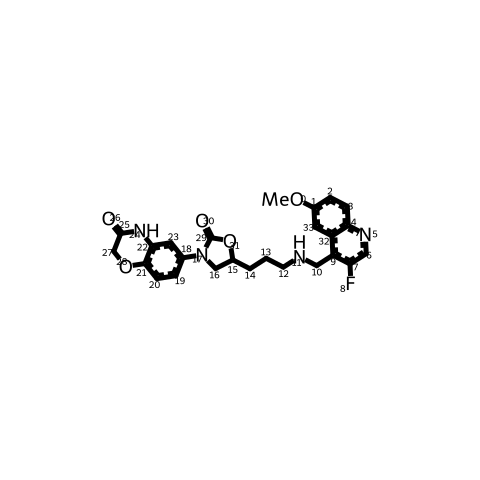 COc1ccc2ncc(F)c(CNCCCC3CN(c4ccc5c(c4)NC(=O)CO5)C(=O)O3)c2c1